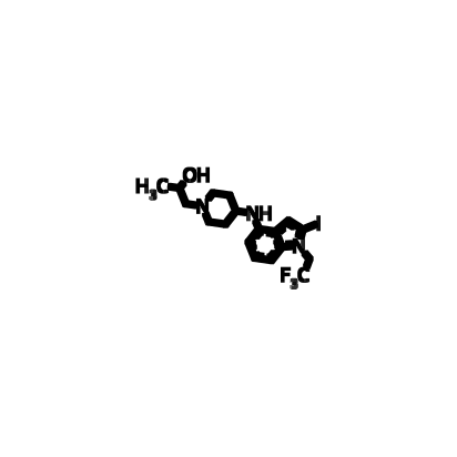 CC(O)CN1CCC(Nc2cccc3c2cc(I)n3CC(F)(F)F)CC1